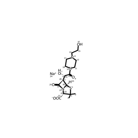 CC1(C)S[C@@H]2[C@H]([C@H](O)C(=O)N3CCN(CCO)CC3)C(=O)N2[C@H]1C(=O)[O-].[Na+]